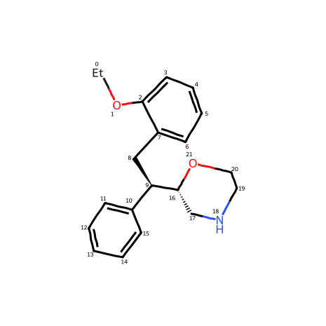 CCOc1ccccc1C[C@H](c1ccccc1)[C@H]1CNCCO1